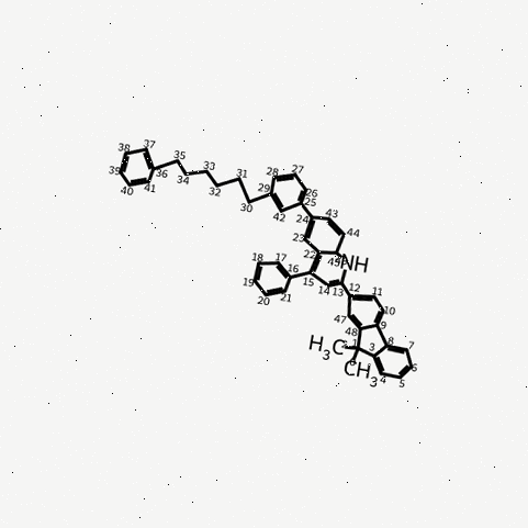 CC1(C)c2ccccc2-c2ccc(C3=CC(c4ccccc4)=C4C=C(c5cccc(CCCCCCc6ccccc6)c5)C=CC4N3)cc21